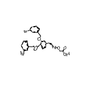 O=C(O)CO/N=C/c1ccc(OCc2cccc(Br)c2)c(OCc2cccc(Br)c2)c1